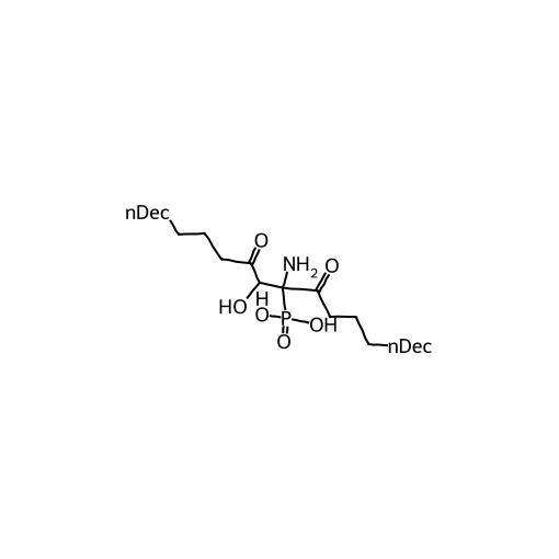 CCCCCCCCCCCCCC(=O)C(O)C(N)(C(=O)CCCCCCCCCCCCC)P(=O)(O)O